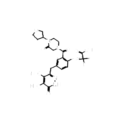 Cc1c(Cc2ccc(F)c(C(=O)N3CCN(C4CCOC4)C(=O)C3)c2)n[nH]c(=O)c1C.O=C(O)C(F)(F)F